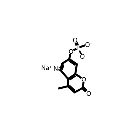 Cc1cc(=O)oc2cc(OP(=O)([O-])[O-])ccc12.[Na+].[Na+]